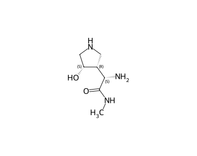 CNC(=O)[C@@H](N)[C@H]1CNC[C@H]1O